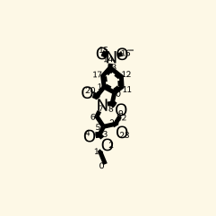 CCOC(=O)C(CN1C(=O)c2ccc([N+](=O)[O-])cc2C1=O)C(C)=O